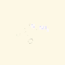 CC1(C)CN(C(=S)C2C3CC4(CCl)CC2CC(c2ccccc2)(C3)C4)CC[C@@H]1N